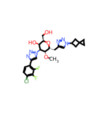 CO[C@@H]1[C@@H](n2cc(-c3ccc(Cl)c(F)c3F)nn2)[C@@H](O)[C@@H](CO)O[C@@H]1Cc1cn(C2CC3(CC3)C2)nn1